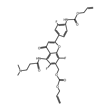 C=CCOC(=O)Nc1ccc(-c2cc(=O)c3c(NC(=O)CCN(C)C)c(F)c(COC(=O)OCC=C)c(F)c3o2)cc1F